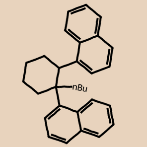 CCCCC1(c2cccc3ccccc23)CCCCC1c1cccc2ccccc12